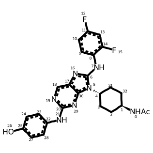 CC(=O)N[C@H]1CC[C@H](n2c(Nc3ccc(F)cc3F)nc3cnc(Nc4ccc(O)cc4)nc32)CC1